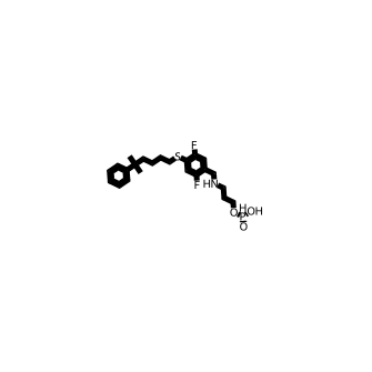 CC(C)(CCCCSc1cc(F)c(CNCCCO[PH](=O)O)cc1F)c1ccccc1